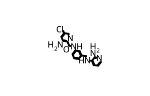 Nc1cc(Cl)cnc1C(=O)Nc1cccc(CNc2cccnc2N)c1